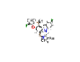 CCCCC1CN(c2ccc(F)cc2)c2cc(SCC)c(O/C=C(\F)C=O)cc2SN1C